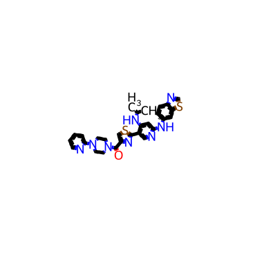 CC(C)Nc1cc(Nc2ccc3ncsc3c2)ncc1-c1nc(C(=O)N2CCN(c3ccccn3)CC2)cs1